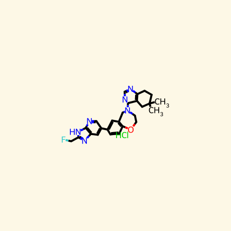 CC1(C)CCc2ncnc(N3CCOc4ccc(-c5cnc6[nH]c(CF)nc6c5)cc4C3)c2C1.Cl